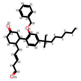 CCCCCCC(C)(C)c1ccc(C2CC(=O)CCC2CC=CCC=O)c(OCc2ccccc2)c1